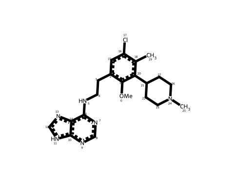 COc1c(CCNc2ncnc3[nH]cnc23)cc(Cl)c(C)c1C1CCN(C)CC1